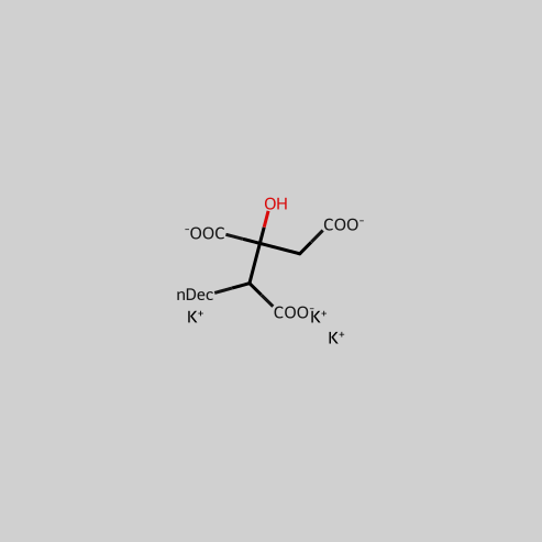 CCCCCCCCCCC(C(=O)[O-])C(O)(CC(=O)[O-])C(=O)[O-].[K+].[K+].[K+]